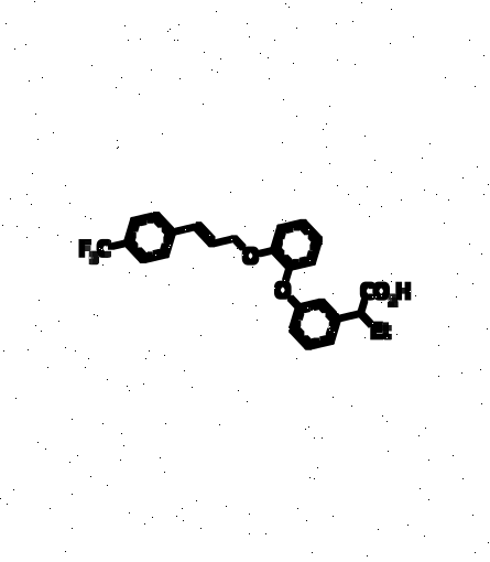 CCC(C(=O)O)c1cccc(Oc2ccccc2OCC=Cc2ccc(C(F)(F)F)cc2)c1